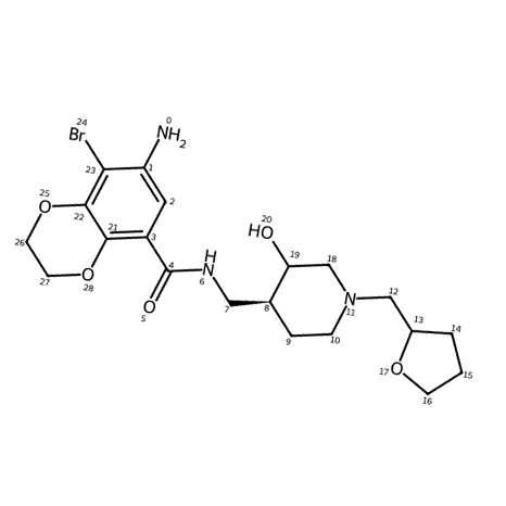 Nc1cc(C(=O)NC[C@@H]2CCN(CC3CCCO3)CC2O)c2c(c1Br)OCCO2